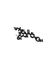 COCC(C)(C)Nc1nc([C@@H](C)O)cc2cnc(Nc3ccc(N4CCNCC4)cn3)nc12